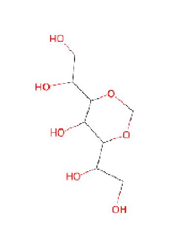 OCC(O)C1OCOC(C(O)CO)C1O